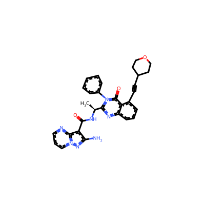 C[C@H](NC(=O)c1c(N)nn2cccnc12)c1nc2cccc(C#CC3CCOCC3)c2c(=O)n1-c1ccccc1